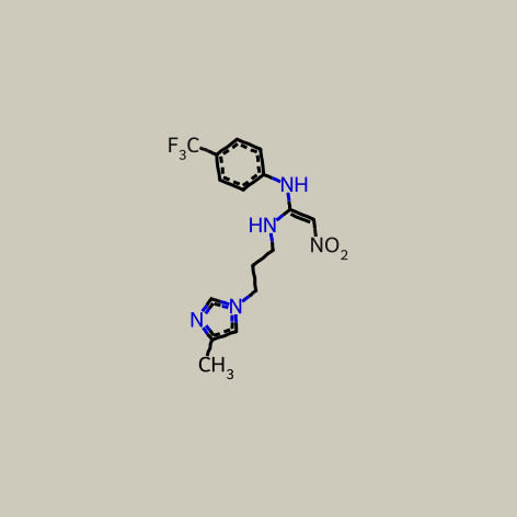 Cc1cn(CCCNC(=C[N+](=O)[O-])Nc2ccc(C(F)(F)F)cc2)cn1